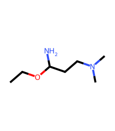 CCOC(N)CCN(C)C